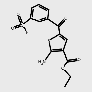 CCOC(=O)c1cc(C(=O)c2cccc(S(=O)(=O)F)c2)sc1N